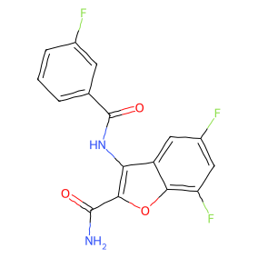 NC(=O)c1oc2c(F)cc(F)cc2c1NC(=O)c1cccc(F)c1